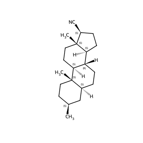 C[C@H]1CC[C@@]2(C)[C@@H](CC[C@@H]3[C@@H]2CC[C@]2(C)[C@@H](C#N)CC[C@@H]32)C1